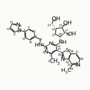 Cc1nc(NCc2ccc(-n3cccn3)cc2)nc(N[C@@H]2C[C@H](CO)[C@@H](O)[C@H]2O)c1-c1nc2c(C)nccc2s1